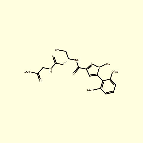 CCC(C)n1nc(C(=O)N[C@H](CC(=O)NCC(=O)OC)CC(C)C)cc1-c1c(OC)cccc1OC